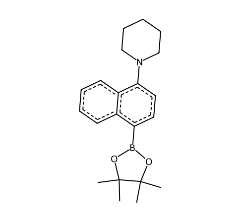 CC1(C)OB(c2ccc(N3CCCCC3)c3ccccc23)OC1(C)C